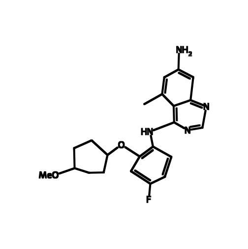 COC1CCC(Oc2cc(F)ccc2Nc2ncnc3cc(N)cc(C)c23)CC1